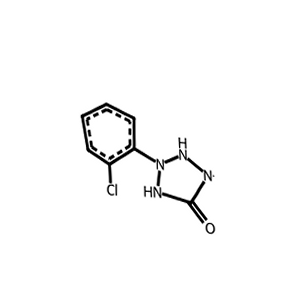 O=C1[N]NN(c2ccccc2Cl)N1